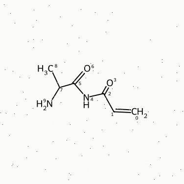 C=CC(=O)NC(=O)C(C)N